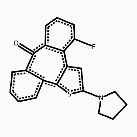 O=c1c2ccccc2c2sc(N3CCCC3)cc2c2c(F)cccc12